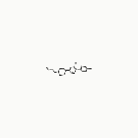 C=CCCC1CC=C(c2ccc(-c3ccc(C)cc3)c(F)c2)CC1